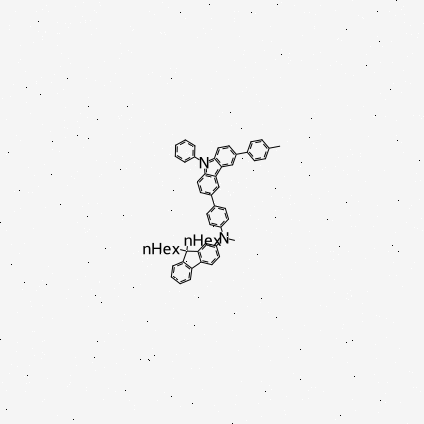 CCCCCCC1(CCCCCC)c2ccccc2-c2ccc(N(C)c3ccc(-c4ccc5c(c4)c4cc(-c6ccc(C)cc6)ccc4n5-c4ccccc4)cc3)cc21